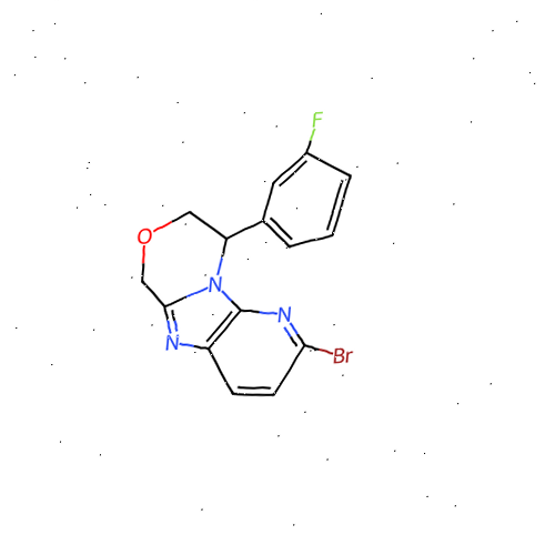 Fc1cccc(C2COCc3nc4ccc(Br)nc4n32)c1